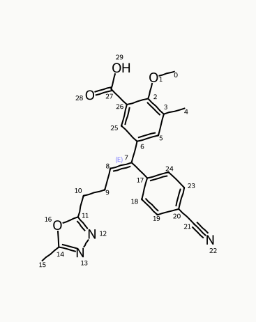 COc1c(C)cc(/C(=C/CCc2nnc(C)o2)c2ccc(C#N)cc2)cc1C(=O)O